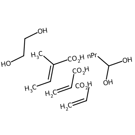 C=CC(=O)O.C=CC(=O)O.CC=C(C)C(=O)O.CCCC(O)O.OCCO